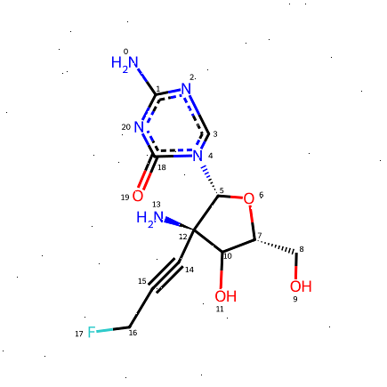 Nc1ncn([C@@H]2O[C@H](CO)C(O)[C@]2(N)C#CCF)c(=O)n1